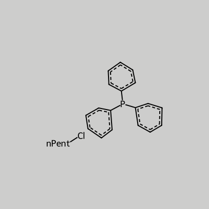 CCCCCCl.c1ccc(P(c2ccccc2)c2ccccc2)cc1